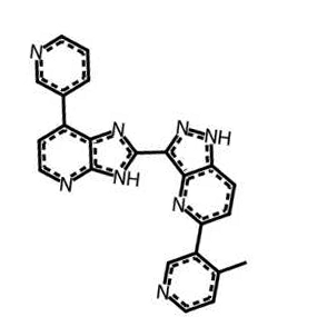 Cc1ccncc1-c1ccc2[nH]nc(-c3nc4c(-c5cccnc5)ccnc4[nH]3)c2n1